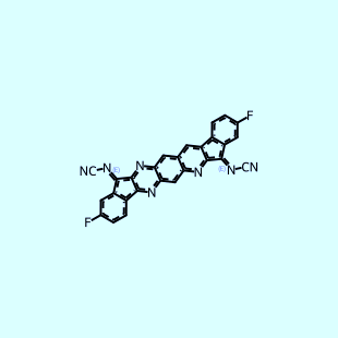 N#C/N=c1\c2cc(F)ccc2c2cc3cc4nc5/c(=N/C#N)c6cc(F)ccc6c5nc4cc3nc12